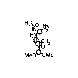 C=CC(=O)Nc1cc(-c2nccs2)ccc1Nc1ncc2c(n1)N(C)C(=O)N(c1cc(OC)cc(OC)c1)C2